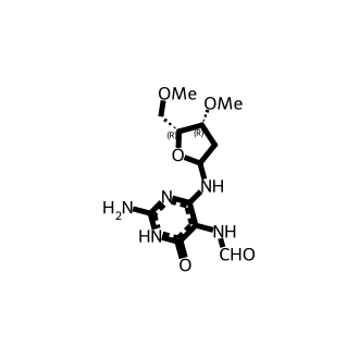 COC[C@H]1OC(Nc2nc(N)[nH]c(=O)c2NC=O)C[C@H]1OC